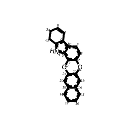 C1=Cc2c([nH]c3c4c(ccc23)Oc2cc3ccccc3cc2O4)CC1